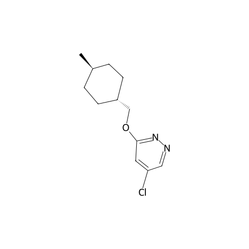 C[C@H]1CC[C@H](COc2cc(Cl)cnn2)CC1